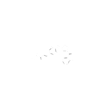 Cl.O=C(C=Cc1cnc(N[C@@H]2CCN(C(=O)c3ccccc3Cl)C2)c(Cl)c1)NO